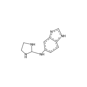 c1nc2cc(NC3NCCN3)ccc2[nH]1